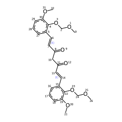 COCOc1c(/C=C/C(=O)CC(=O)/C=C/c2cccc(OC)c2OCOC)cccc1OC